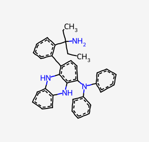 CCC(N)(CC)c1ccccc1-c1ccc(N(c2ccccc2)c2ccccc2)c2c1Nc1ccccc1N2